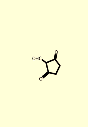 O=CC1C(=O)CCC1=O